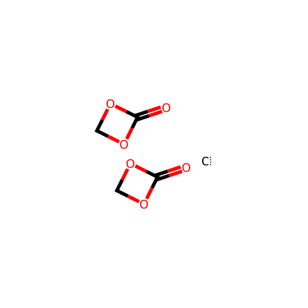 O=C1OCO1.O=C1OCO1.[C]